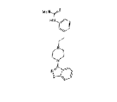 CNC(=S)Nc1cccc(CCN2CCN(c3nsc4ccccc34)CC2)c1